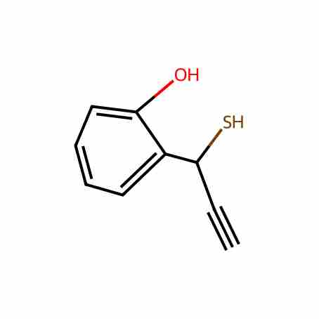 C#CC(S)c1ccccc1O